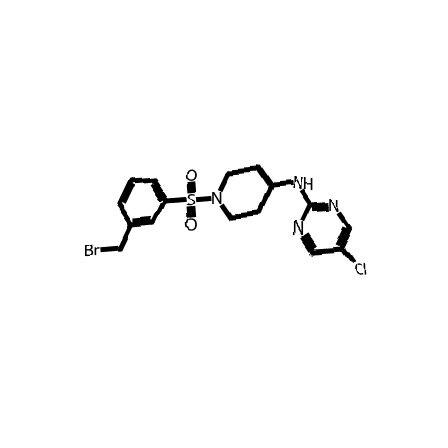 O=S(=O)(c1cccc(CBr)c1)N1CCC(Nc2ncc(Cl)cn2)CC1